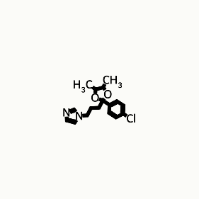 CC1OC(CCCn2ccnc2)(c2ccc(Cl)cc2)OC1C